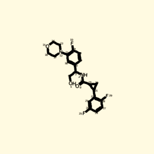 O=C(NC(CO)c1ccc(F)c(N2CCOCC2)c1)C1CC1c1cc(F)ccc1F